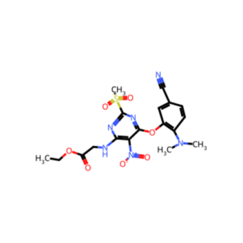 CCOC(=O)CNc1nc(S(C)(=O)=O)nc(Oc2cc(C#N)ccc2N(C)C)c1[N+](=O)[O-]